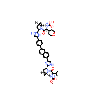 COC(=O)N[C@H](C(=O)N1[C@@H]2C[C@H]2C[C@H]1c1nc(-c2ccc3cc(-c4ccc(-c5c[nH]c(C6C[C@H]7C[C@H]7N6C(=O)[C@@H](NC(=O)O)C6CCOCC6)n5)cc4)ccc3c2)c[nH]1)C(C)C